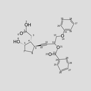 O=C(O)C[C@H]1[C@@H](O)CC[C@@H]1C#CC(COc1ccccc1)OC(=O)c1ccccc1